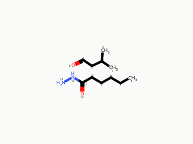 CC(C)CC=O.CCCCCC(=O)NN